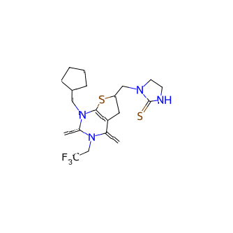 C=C1C2=C(SC(CN3CCNC3=S)C2)N(CC2CCCC2)C(=C)N1CC(F)(F)F